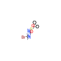 Cc1nn(Cc2nnc(SCC(=O)c3ccccc3-c3ccccc3)o2)c(C)c1Br